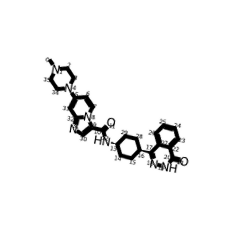 CN1CCN(c2ccn3c(C(=O)N[C@H]4CC[C@H](c5n[nH]c(=O)c6ccccc65)CC4)cnc3c2)CC1